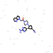 CNc1ncc(-c2cc(C#N)ccc2N2CCN(C(=O)Cn3ccc4cccnc43)CC2)cn1